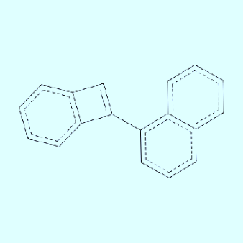 C1=C(c2cccc3ccccc23)c2ccccc21